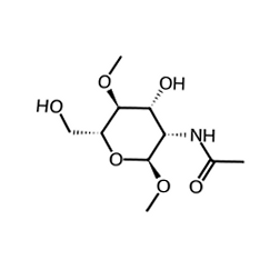 CO[C@H]1O[C@H](CO)[C@@H](OC)[C@H](O)[C@@H]1NC(C)=O